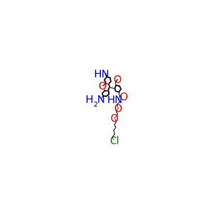 N=c1ccc2c(-c3cc(C(=O)NCCOCCOCCCCCCCl)ccc3C=O)c3ccc(N)cc3oc-2c1